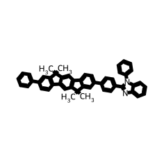 CC1(C)c2cc(-c3ccccc3)ccc2-c2cc3c(cc21)-c1ccc(-c2ccc(-c4nc5ccccc5n4-c4ccccc4)cc2)cc1C3(C)C